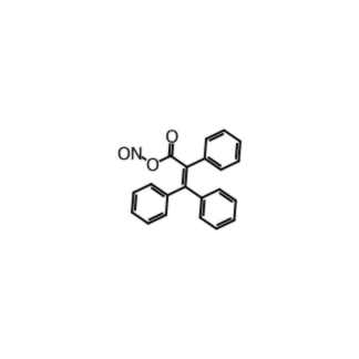 O=NOC(=O)C(=C(c1ccccc1)c1ccccc1)c1ccccc1